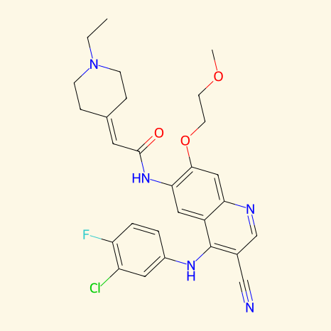 CCN1CCC(=CC(=O)Nc2cc3c(Nc4ccc(F)c(Cl)c4)c(C#N)cnc3cc2OCCOC)CC1